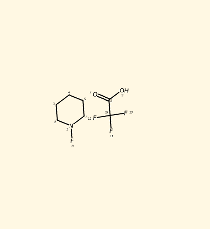 FN1CCCCC1.O=C(O)C(F)(F)F